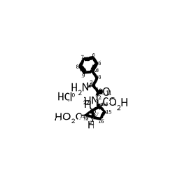 Cl.N[C@@H](Cc1ccccc1)C(=O)N[C@@]1(C(=O)O)CC[C@H]2[C@H](C(=O)O)[C@H]21